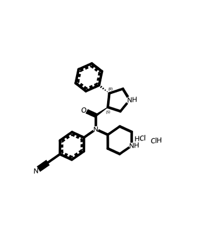 Cl.Cl.N#Cc1ccc(N(C(=O)[C@@H]2CNC[C@H]2c2ccccc2)C2CCNCC2)cc1